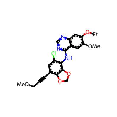 CCOc1cc2ncnc(Nc3c(Cl)cc(C#CCOC)c4c3OCO4)c2cc1OC